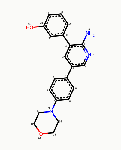 Nc1ncc(-c2ccc(N3CCOCC3)cc2)cc1-c1cccc(O)c1